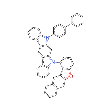 c1ccc(-c2ccc(-n3c4ccccc4c4cc5c6ccccc6n(-c6cccc7oc8cc9ccccc9cc8c67)c5cc43)cc2)cc1